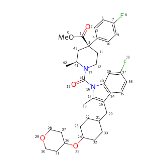 COC(=O)[C@@]1(c2ccc(F)cc2)CCN(C(=O)n2c(C)c(CC3CCC(OC4CCOCC4)CC3)c3ccc(F)cc32)[C@@H](C)C1